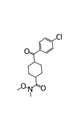 CON(C)C(=O)C1CCC(C(=O)c2ccc(Cl)cc2)CC1